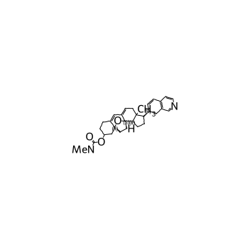 CNC(=O)OC1CCC2=CC3=CCC4(C)C([C@H]5C=Cc6ccncc6C5)CC[C@H]4[C@@]34CC[C@]2(C1)O4